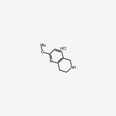 CC(C)(C)Oc1ccc2c(n1)CCNC2.Cl